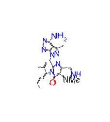 C=C(C)/C(=C\C=C/C)n1c(Cn2nc(C)c3c(N)ncnc32)nc(C=N)c(NC)c1=O